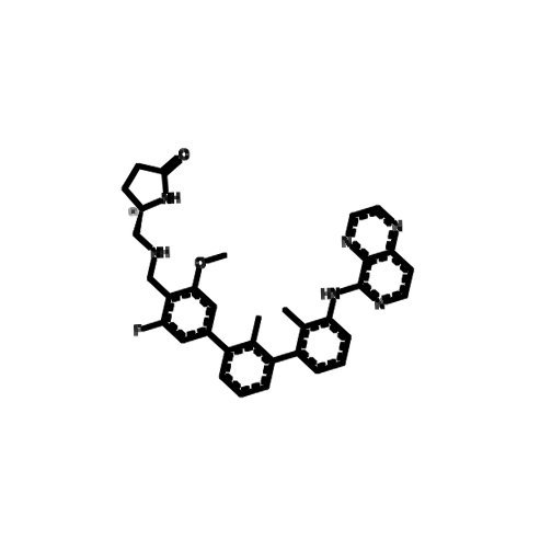 COc1cc(-c2cccc(-c3cccc(Nc4nccc5nccnc45)c3C)c2C)cc(F)c1CNC[C@H]1CCC(=O)N1